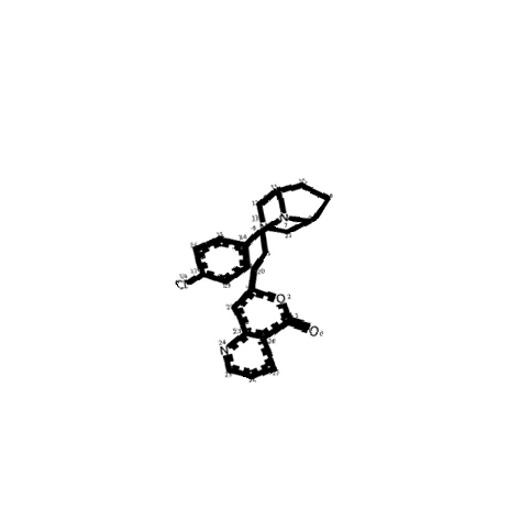 O=c1oc(CCCN2C3CCC2CN(c2ccc(Cl)cc2)C3)cc2ncccc12